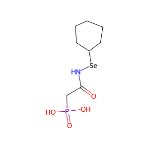 O=C(CP(=O)(O)O)N[Se]C1CCCCC1